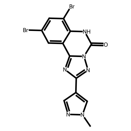 Cn1cc(-c2nc3c4cc(Br)cc(Br)c4[nH]c(=O)n3n2)cn1